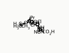 CC(C)c1cn(COCC[Si](C)(C)C)c2nnc(Oc3c(Cl)cc(NN=C(C#N)C(=O)NC(=O)O)cc3Cl)cc12